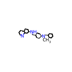 CN(Cc1ccccc1)C1C=CC(CNc2ccc3cccnc3c2)=CC1